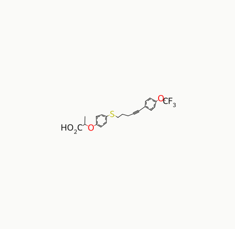 CC(Oc1ccc(SCCCC#Cc2ccc(OC(F)(F)F)cc2)cc1)C(=O)O